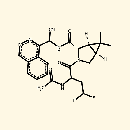 CC1(C)[C@@H]2[C@@H](C(=O)NC(C#N)c3nncc4ccccc34)N(C(=O)C(CC(F)F)NC(=O)C(F)(F)F)C[C@@H]21